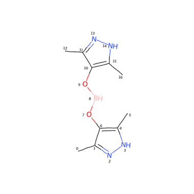 Cc1n[nH]c(C)c1OBOc1c(C)n[nH]c1C